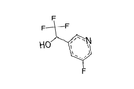 OC(c1cncc(F)c1)C(F)(F)F